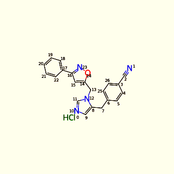 Cl.N#Cc1ccc(Cc2cncn2Cc2cc(-c3ccccc3)no2)cc1